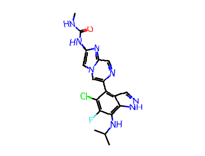 CNC(=O)Nc1cn2cc(-c3c(Cl)c(F)c(NC(C)C)c4[nH]ncc34)ncc2n1